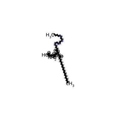 CCCCC/C=C\C/C=C\C/C=C\C/C=C\CCCC(=O)O[C@H](COC(=O)CCCCCCCCCCCCCCCCCCC)COP(=O)(O)OC[C@H](N)C(=O)O